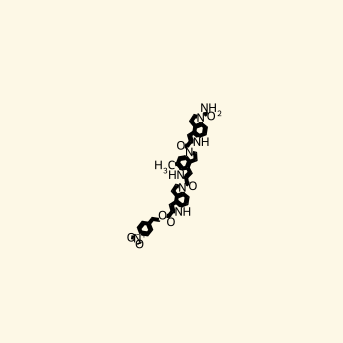 Cc1cc2c(c3cc(C(=O)N4CCc5c4ccc4[nH]c(C(=O)OCCc6ccc([N+](=O)[O-])cc6)cc54)[nH]c13)CCN2C(=O)c1cc2c3c(ccc2[nH]1)N(C(N)=O)CC3